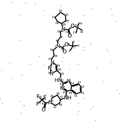 CC(C)(C)OC(=O)N(CCCN(C(=O)OC(C)(C)C)C1CCCCC1)CCCn1cc(CNc2nc(NC3CCN(C(=O)C(F)(F)F)CC3)c3ccccc3n2)nn1